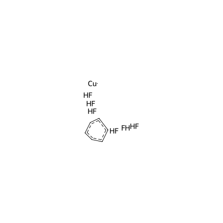 F.F.F.F.F.F.[Cu].c1ccccc1